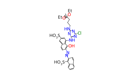 CCO[Si](C)(CCCNc1nc(Cl)nc(Nc2cc(S(=O)(=O)O)cc3ccc(/N=N/c4ccc5ccccc5c4S(=O)(=O)O)c(O)c23)n1)OCC